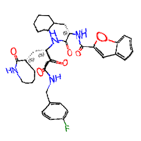 O=C(NCc1ccc(F)cc1)C(=O)[C@H](C[C@@H]1CCCNC1=O)NC(=O)[C@H](CC1CCCCC1)NC(=O)c1cc2ccccc2o1